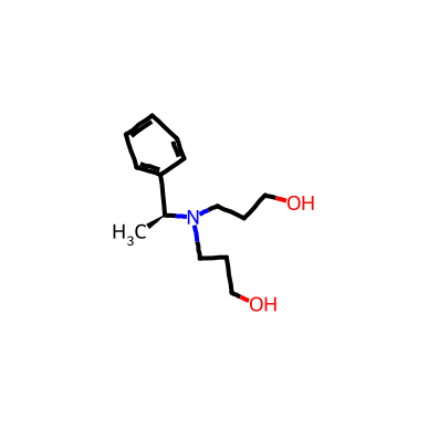 C[C@@H](c1ccccc1)N(CCCO)CCCO